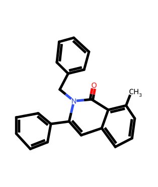 Cc1cccc2cc(-c3ccccc3)n(Cc3ccccc3)c(=O)c12